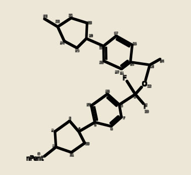 CCCCCC1CCC(c2ccc(C(F)(F)OC(C)c3ccc(C4CCC(C)CC4)cc3)cc2)CC1